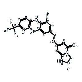 C[C@H]1Cn2c(cc(OCc3cc(F)c(Oc4ccc(C(F)(F)F)nc4)c(F)c3)nc2=O)N1